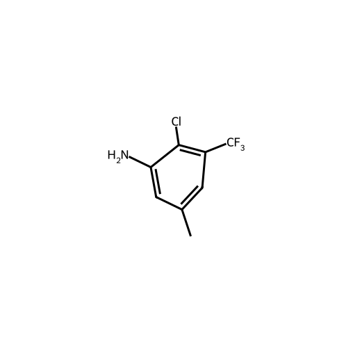 Cc1cc(N)c(Cl)c(C(F)(F)F)c1